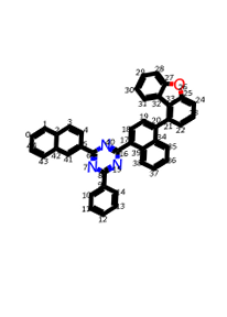 C1=CC2C=CC(c3nc(-c4ccccc4)nc(-c4ccc(-c5cccc6oc7ccccc7c56)c5ccccc45)n3)=CC2C=C1